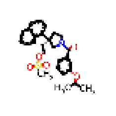 CC(C)Oc1cccc(C(=O)N2CC[C@](CCOS(C)(=O)=O)(c3cccc4ccccc34)C2)c1